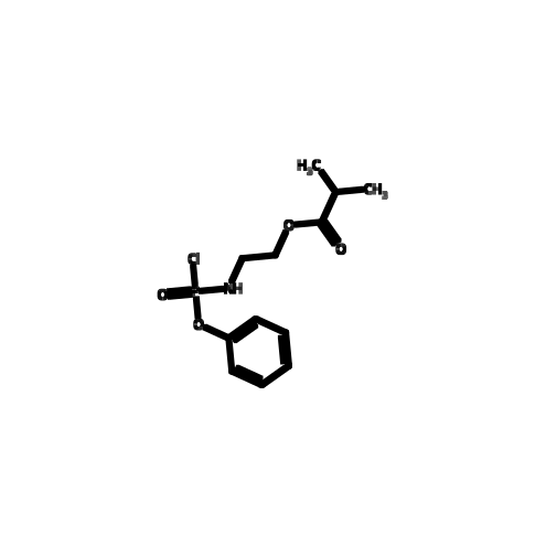 CC(C)C(=O)OCCNP(=O)(Cl)Oc1ccccc1